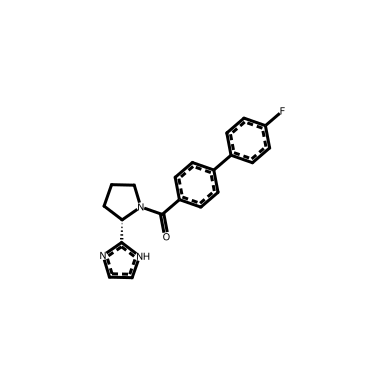 O=C(c1ccc(-c2ccc(F)cc2)cc1)N1CCC[C@H]1c1ncc[nH]1